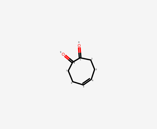 O=C1CCC=CCCC1=O